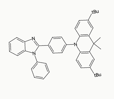 CC(C)(C)c1ccc2c(c1)C(C)(C)c1cc(C(C)(C)C)ccc1N2c1ccc(-c2nc3ccccc3n2-c2ccccc2)cc1